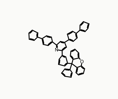 c1ccc(-c2ccc(-c3cc(-c4ccc(-c5ccccc5)cc4)nc(-c4cccc(C5(c6ccccc6)c6ccccc6Oc6ccccc65)c4)c3)cc2)cc1